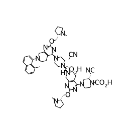 CN1CCC[C@H]1COc1nc2c(c(N3CCN(C(=O)O)[C@@H](CC#N)C3)n1)CCNC2.Cc1cccc2cccc(N3CCc4c(nc(OC[C@@H]5CCCN5C)nc4N4CCN(C(=O)O)[C@@H](CC#N)C4)C3)c12